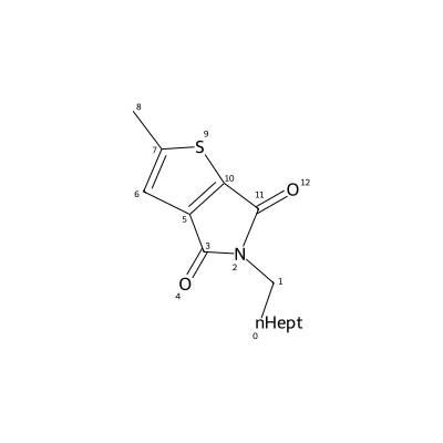 CCCCCCCCN1C(=O)c2cc(C)sc2C1=O